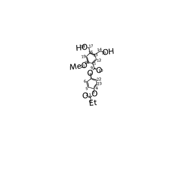 CCC(=O)Oc1ccc(OC(=O)c2cc(CO)c(CO)cc2OC)cc1